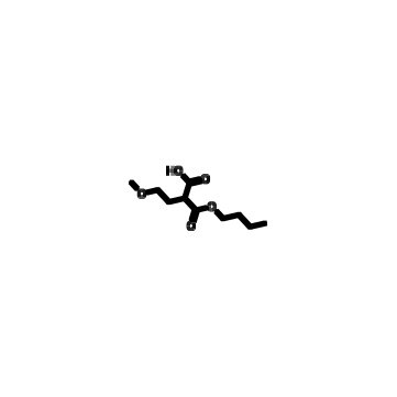 CCCCOC(=O)C(CCOC)C(=O)O